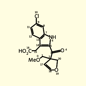 COCC1(C(=O)c2[nH]c3cc(Cl)ccc3c2CC(=O)O)C=COC1